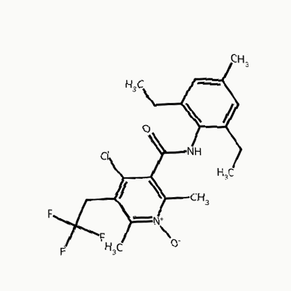 CCc1cc(C)cc(CC)c1NC(=O)c1c(Cl)c(CC(F)(F)F)c(C)[n+]([O-])c1C